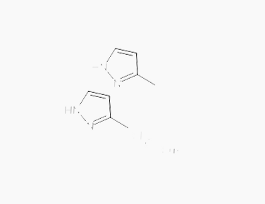 Cc1cc[nH]n1.Cc1cc[nH]n1.[Cl-].[Cl-].[Cu+2]